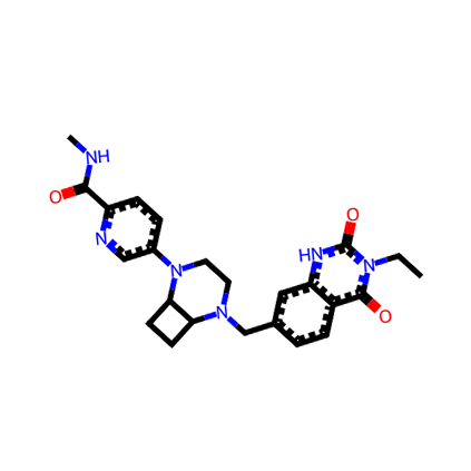 CCn1c(=O)[nH]c2cc(CN3CCN(c4ccc(C(=O)NC)nc4)C4CCC43)ccc2c1=O